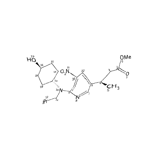 COC(=O)C[C@@H](C)c1cnc(N(CC(C)C)[C@H]2CC[C@H](O)CC2)c([N+](=O)[O-])c1